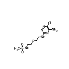 CS(=O)(=O)NCCOCCNc1nnc(Cl)c(N)n1